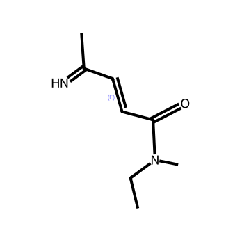 CCN(C)C(=O)/C=C/C(C)=N